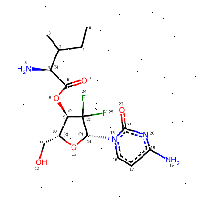 CCC(C)[C@H](N)C(=O)O[C@@H]1[C@@H](CO)O[C@@H](n2ccc(N)nc2=O)C1(F)F